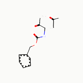 CCCC(=O)C[C@H](NC(=O)OCc1ccccc1)C(=O)OC